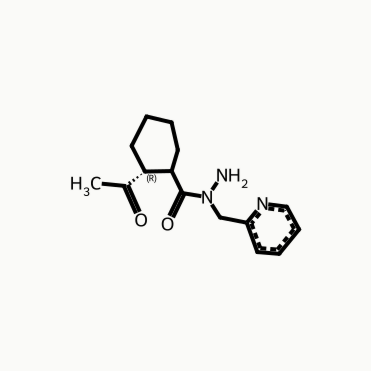 CC(=O)[C@@H]1CCCCC1C(=O)N(N)Cc1ccccn1